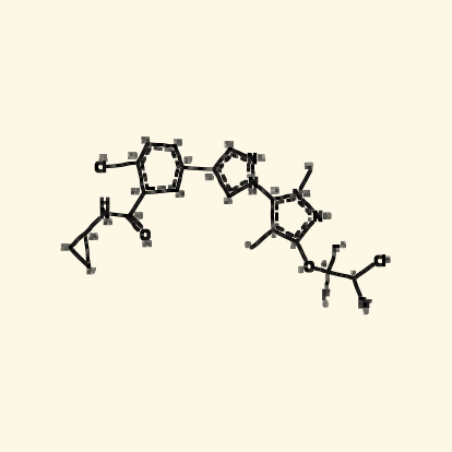 Cc1c(OC(F)(F)C(Cl)Br)nn(C)c1-n1cc(-c2ccc(Cl)c(C(=O)NC3CC3)c2)cn1